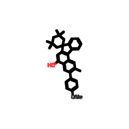 COc1ccc(-c2cc3c(O)cc4c(c3cc2C)-c2ccccc2C42CC(C)(C)CC(C)(C)C2)cc1